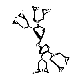 c1cc(N(CC2CO2)CC2CO2)c(N(CC2CO2)CC2CO2)cc1Oc1ccc(N(CC2CO2)CC2CO2)c(N(CC2CO2)CC2CO2)c1